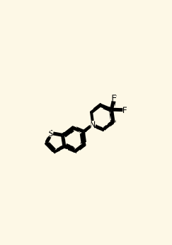 FC1(F)CCN(c2ccc3ccsc3c2)CC1